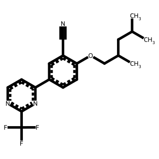 CC(C)CC(C)COc1ccc(-c2ccnc(C(F)(F)F)n2)cc1C#N